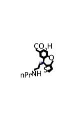 CCCNCC/C=C1/c2cc(CC(=O)O)ccc2OCc2ccsc21